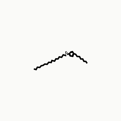 CCCCCCCCCCCCCCCCCCN(C)c1ccc(CCCCCCCC)cc1